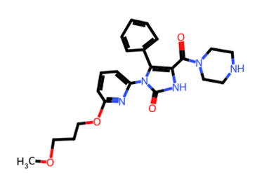 COCCCOc1cccc(-n2c(-c3ccccc3)c(C(=O)N3CCNCC3)[nH]c2=O)n1